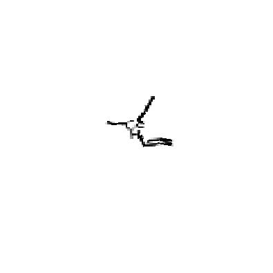 C=[CH][GeH]([CH3])[CH3]